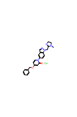 CN1CCN=C1Cn1ncc2cc(-n3ccc(OCc4ccccc4)cc3=O)ccc21.Cl